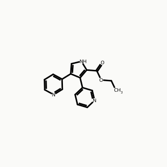 CCOC(=O)c1[nH]cc(-c2cccnc2)c1-c1cccnc1